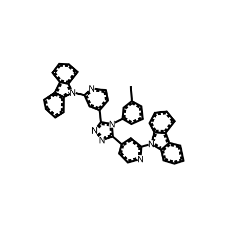 Cc1cccc(-n2c(-c3ccnc(-n4c5ccccc5c5ccccc54)c3)nnc2-c2ccnc(-n3c4ccccc4c4ccccc43)c2)c1